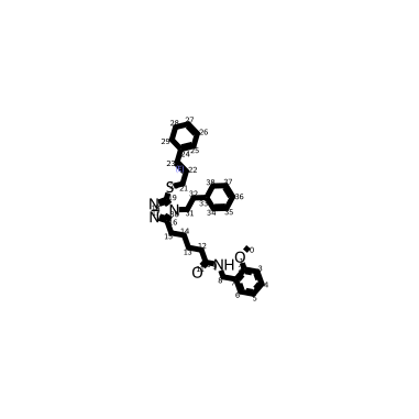 COc1ccccc1CNC(=O)CCCCc1nnc(SC/C=C/C2=CC=CCC2)n1CCC1C=CC=CC1